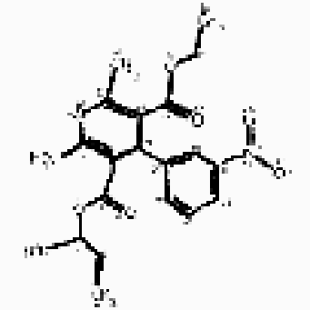 C=CC(C)OC(=O)C1=C(C)NC(C)=C(C(=O)OCC)C1c1cccc([N+](=O)[O-])c1